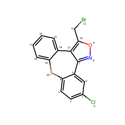 Clc1ccc2c(c1)-c1noc(CBr)c1-c1ccccc1S2